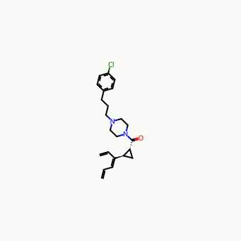 C=C/C=C(\C=C)[C@@H]1C[C@H]1C(=O)N1CCN(CCCc2ccc(Cl)cc2)CC1